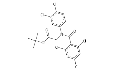 CC(C)(C)OC(=O)CN(C(=O)c1c(Cl)cc(Cl)cc1Cl)c1ccc(Cl)c(Cl)c1